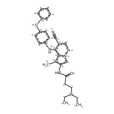 CCN(CC)CCC(=O)Nc1cn2ncc(C#N)c(Nc3ccc(Oc4ccccc4)cc3)c2c1C